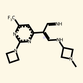 CN1CC(N/C=C(\C=N)c2cc(C(F)(F)F)nc(N3CCC3)n2)C1